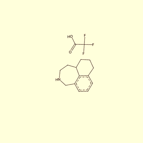 O=C(O)C(F)(F)F.c1cc2c3c(c1)CNCCC3CCC2